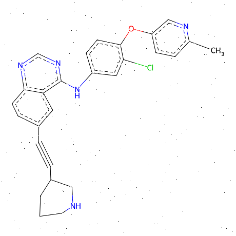 Cc1ccc(Oc2ccc(Nc3ncnc4ccc(C#CC5CCCNC5)cc34)cc2Cl)cn1